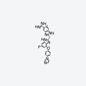 N=C(N)c1ccc2[nH]c(Cc3nc4c(Oc5ccc(-n6ccnc6)cc5)cc(F)cc4[nH]3)nc2c1